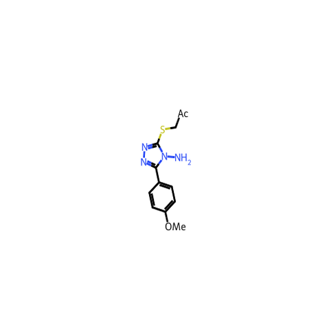 COc1ccc(-c2nnc(SCC(C)=O)n2N)cc1